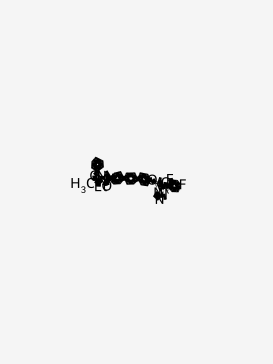 CCC(C(C)OCc1ccccc1)n1ncn(-c2ccc(C3CCC(c4ccc(OC[C@@H]5CO[C@@](Cn6cncn6)(c6ccc(F)cc6F)C5)cc4)CC3)cc2)c1=O